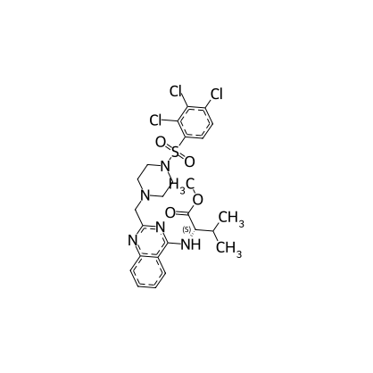 COC(=O)[C@@H](Nc1nc(CN2CCN(S(=O)(=O)c3ccc(Cl)c(Cl)c3Cl)CC2)nc2ccccc12)C(C)C